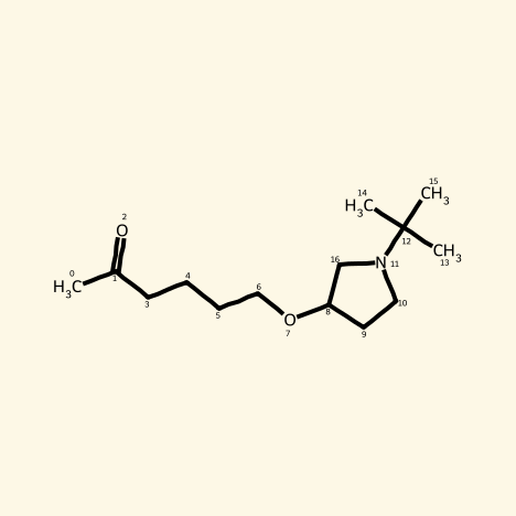 CC(=O)CCCCOC1CCN(C(C)(C)C)C1